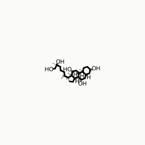 C[C@H](CCC[C@](C)(O)CO)[C@H]1CC[C@H]2[C@@H]3[C@H](O)C[C@@H]4C[C@H](O)CC[C@]4(C)[C@H]3C[C@H](O)[C@]12C